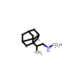 C[C](CNC(=O)O)C12CC3CC(CC(C3)C1)C2